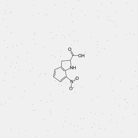 O=C(O)C1Cc2cccc([N+](=O)[O-])c2N1